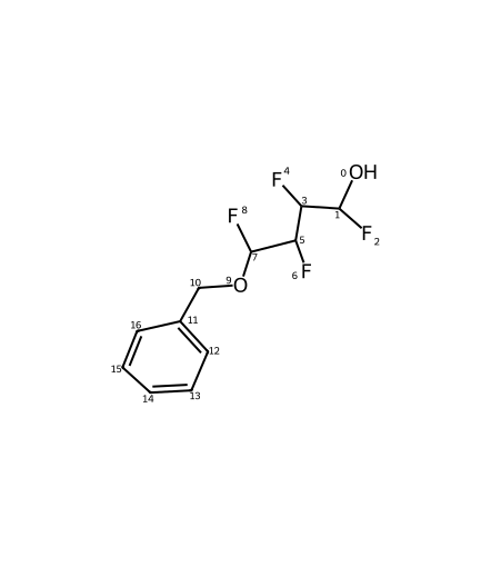 OC(F)C(F)C(F)C(F)OCc1ccccc1